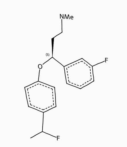 CNCC[C@H](Oc1ccc(C(C)F)cc1)c1cccc(F)c1